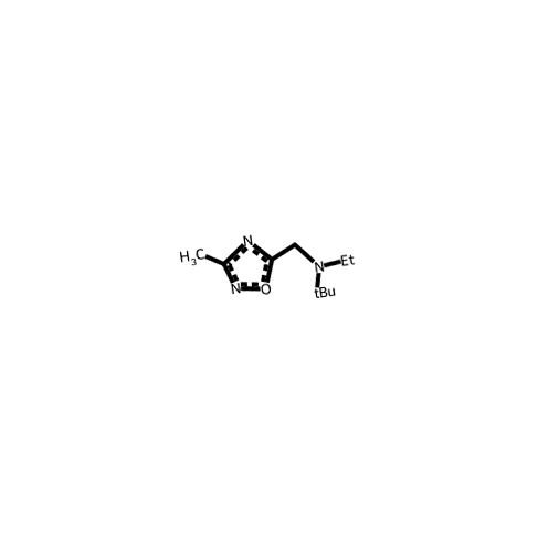 CCN(Cc1nc(C)no1)C(C)(C)C